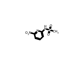 CS(=O)(=O)Nc1cccc([N+](=O)[O-])n1